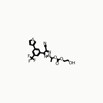 CC(OC(=O)OCCO)n1nc(C#N)c(-c2cc(-c3ccsc3)cc(C(F)(F)F)c2)n1